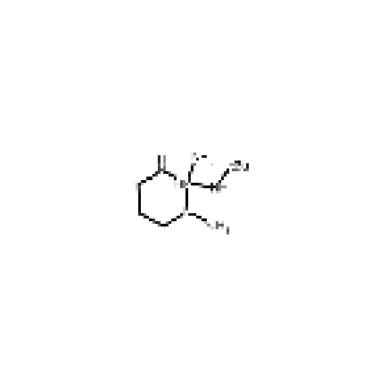 CN1CCCN[PH]1(N)NC(C)(C)C